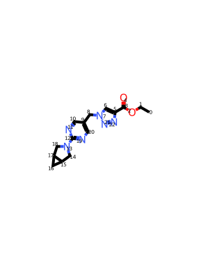 CCOC(=O)c1cn(Cc2cnc(N3CC4CC4C3)nc2)nn1